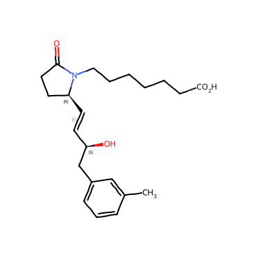 Cc1cccc(C[C@H](O)/C=C/[C@H]2CCC(=O)N2CCCCCCC(=O)O)c1